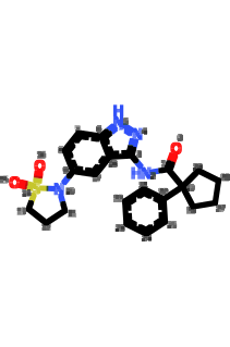 O=C(Nc1n[nH]c2ccc(N3CCCS3(=O)=O)cc12)C1(c2ccccc2)CCCC1